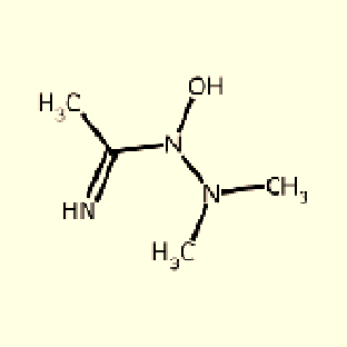 CC(=N)N(O)N(C)C